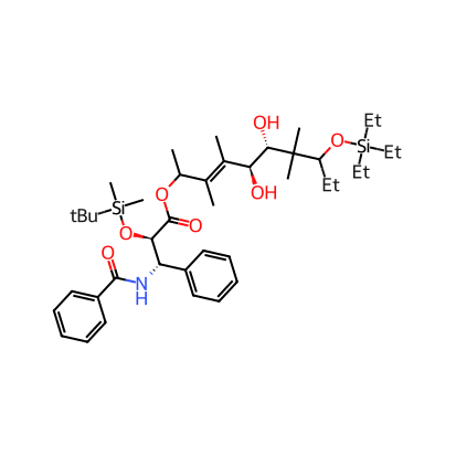 CCC(O[Si](CC)(CC)CC)C(C)(C)[C@@H](O)[C@@H](O)/C(C)=C(\C)C(C)OC(=O)[C@H](O[Si](C)(C)C(C)(C)C)[C@@H](NC(=O)c1ccccc1)c1ccccc1